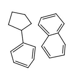 c1ccc(C2CCCC2)cc1.c1ccc2ccccc2c1